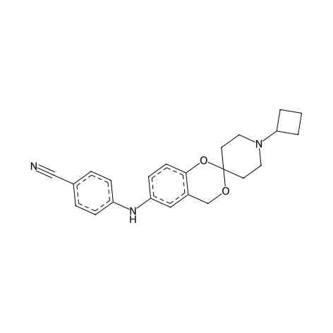 N#Cc1ccc(Nc2ccc3c(c2)COC2(CCN(C4CCC4)CC2)O3)cc1